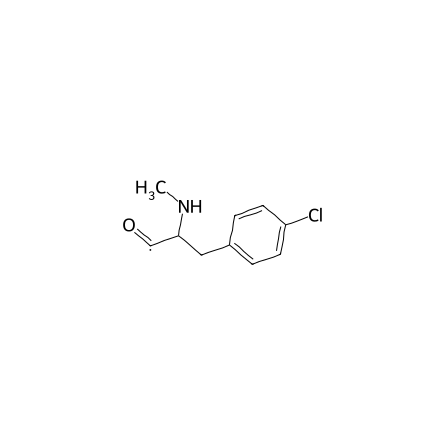 CNC([C]=O)Cc1ccc(Cl)cc1